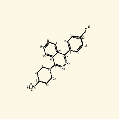 NC1CCN(c2nnc(-c3ccc(F)cc3)c3ccccc23)CC1